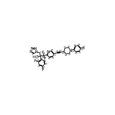 OC(Cn1cnnn1)(c1ccc(F)cc1F)C(F)(F)c1ccc(C#CC2CCN(c3ccc(F)cc3)CC2)cn1